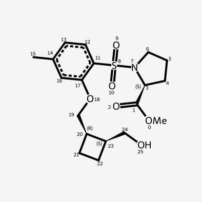 COC(=O)[C@@H]1CCCN1S(=O)(=O)c1ccc(C)cc1OC[C@@H]1CC[C@@H]1CO